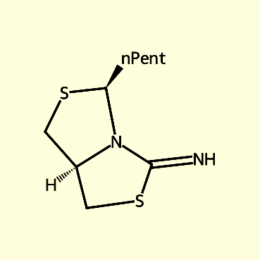 CCCCC[C@@H]1SC[C@@H]2CSC(=N)N21